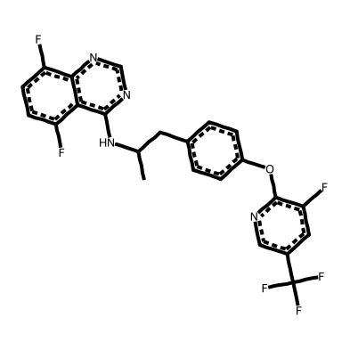 CC(Cc1ccc(Oc2ncc(C(F)(F)F)cc2F)cc1)Nc1ncnc2c(F)ccc(F)c12